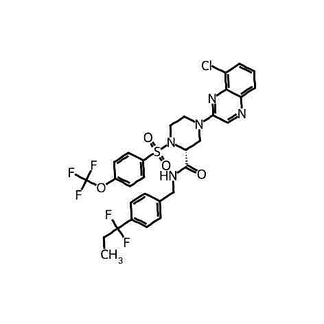 CCC(F)(F)c1ccc(CNC(=O)[C@H]2CN(c3cnc4cccc(Cl)c4n3)CCN2S(=O)(=O)c2ccc(OC(F)(F)F)cc2)cc1